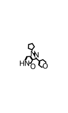 O=c1[nH]ccc2c1c(C1=CCOCC1)nn2C1CCCC1